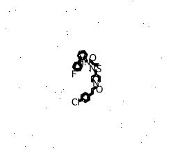 O=C(Nc1ccccc1-c1ccc(F)cc1)c1csc(C2CCN(C(=O)CCc3ccc(Cl)cc3)CC2)n1